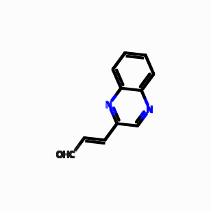 O=CC=Cc1cnc2ccccc2n1